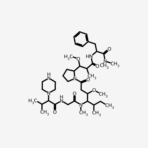 CCC(C)C(C(CC(=O)N1CCCC1C(OC)C(C)C(=O)NC(Cc1ccccc1)C(=O)N(C)C)OC)N(C)C(=O)CNC(=O)C(C(C)C)N1CCNCC1